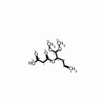 C=CCC(OC(=O)CC(=O)O)C(OC)OC